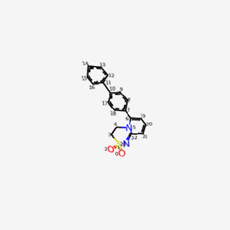 O=S1(=O)CCN2C(c3ccc(-c4ccccc4)cc3)=CC=CC2=N1